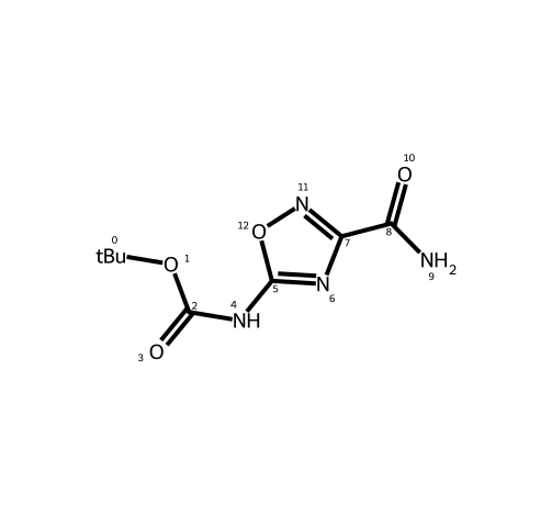 CC(C)(C)OC(=O)Nc1nc(C(N)=O)no1